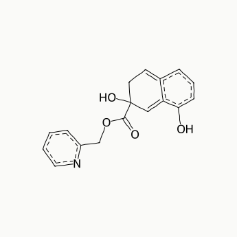 O=C(OCc1ccccn1)C1(O)C=c2c(O)cccc2=CC1